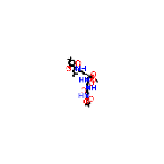 CCOC(=O)[C@H](CCCCNC(CC(C)C)=C1C(=O)CC(C)(C)CC1=O)NC(=O)CNC(=O)CNC(=O)OC(C)(C)C